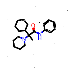 CC(C(=O)Nc1ccccc1)(C1CCCCC1)N1CCCCC1